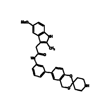 COc1ccc2[nH]c(C)c(CC(=O)Nc3cccc(-c4ccc5c(c4)COC4(CCNCC4)O5)c3)c2c1